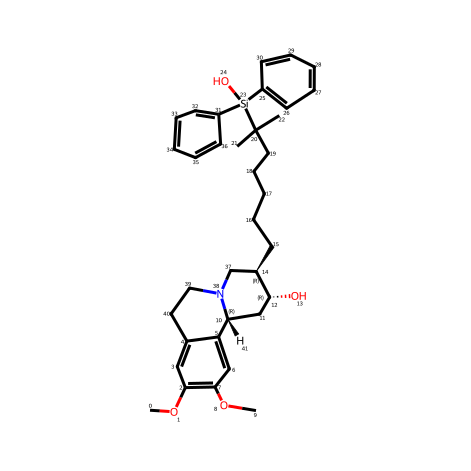 COc1cc2c(cc1OC)[C@H]1C[C@@H](O)[C@H](CCCCCC(C)(C)[Si](O)(c3ccccc3)c3ccccc3)CN1CC2